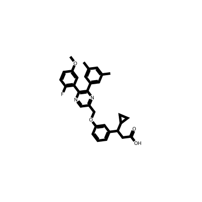 COc1ccc(F)c(-c2ncc(COc3cccc(C(CC(=O)O)C4CC4)c3)nc2-c2cc(C)cc(C)c2)c1